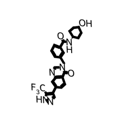 O=C(N[C@H]1CC[C@@H](O)CC1)c1cccc(Cn2cnc3cc(-c4cn[nH]c4C(F)(F)F)ccc3c2=O)c1